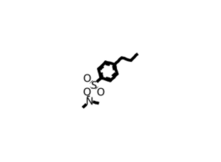 CCCc1ccc(S(=O)(=O)ON(C)C)cc1